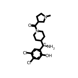 CN1CCC(C(=O)N2CCC([C@@H](N)c3cc(Cl)c(Cl)cc3O)CC2)C1